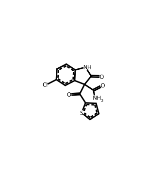 NC(=O)C1(C(=O)c2cccs2)C(=O)Nc2ccc(Cl)cc21